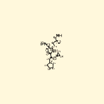 CC(C)OC(=O)[C@H](CCC(=O)C=N)NC(=O)[C@H](CC1CCCC1)OC1CC1